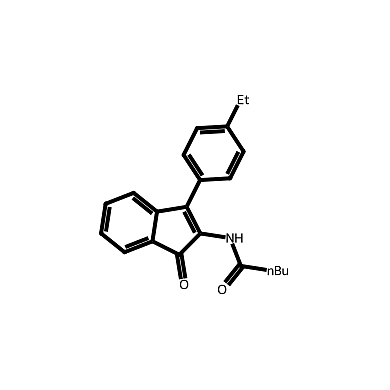 CCCCC(=O)NC1=C(c2ccc(CC)cc2)c2ccccc2C1=O